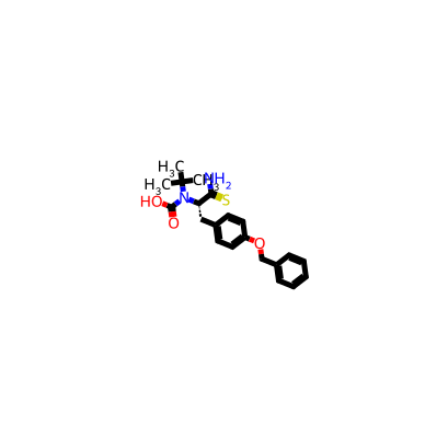 CC(C)(C)N(C(=O)O)[C@@H](Cc1ccc(OCc2ccccc2)cc1)C(N)=S